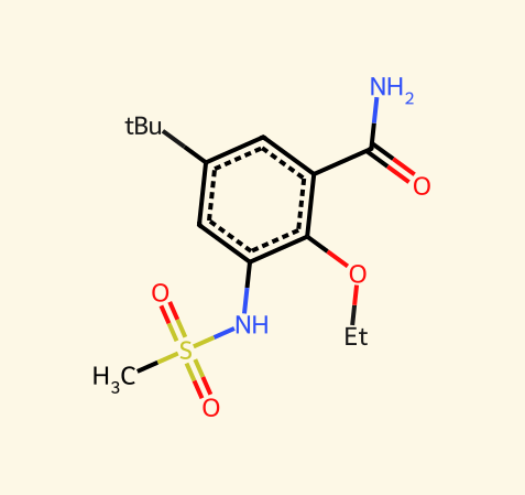 CCOc1c(NS(C)(=O)=O)cc(C(C)(C)C)cc1C(N)=O